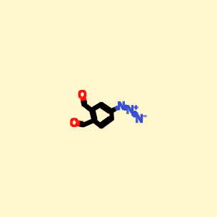 [N-]=[N+]=Nc1ccc(C=O)c(C=O)c1